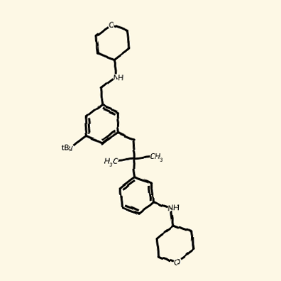 CC(C)(C)c1cc(CNC2CCOCC2)cc(CC(C)(C)c2cccc(NC3CCOCC3)c2)c1